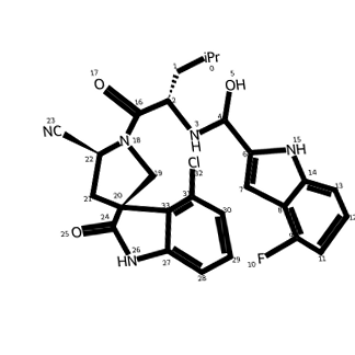 CC(C)C[C@H](NC(O)c1cc2c(F)cccc2[nH]1)C(=O)N1C[C@]2(C[C@H]1C#N)C(=O)Nc1cccc(Cl)c12